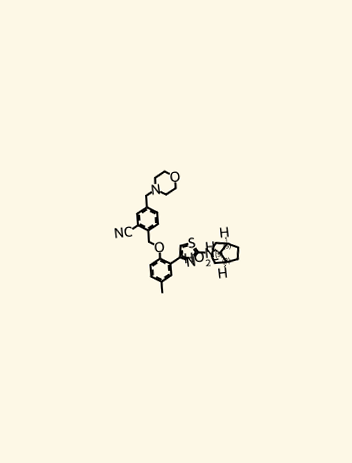 Cc1ccc(OCc2ccc(CN3CCOCC3)cc2C#N)c(-c2csc(N3C[C@H]4CC[C@@H](C3)[C@H]4C(=O)O)n2)c1